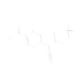 CC(C)c1ncc(C(C#N)N2CCC(F)(F)CC2)cn1